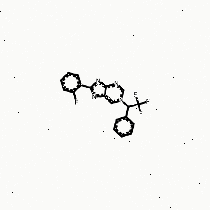 Fc1ccccc1-c1nc2cn(C(c3ccccc3)C(F)(F)F)cnc-2n1